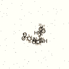 COC(=O)c1ccc(-c2nc3c(ccc4[nH]cc(CCNC(=O)OC(C)(C)C)c43)o2)cc1